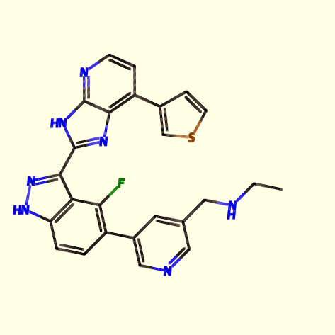 CCNCc1cncc(-c2ccc3[nH]nc(-c4nc5c(-c6ccsc6)ccnc5[nH]4)c3c2F)c1